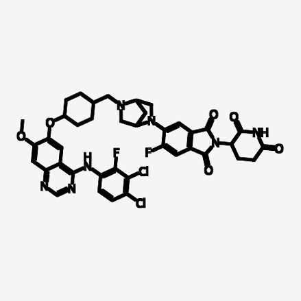 COc1cc2ncnc(Nc3ccc(Cl)c(Cl)c3F)c2cc1OC1CCC(CN2CC3CC2CN3c2cc3c(cc2F)C(=O)N(C2CCC(=O)NC2=O)C3=O)CC1